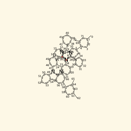 Cc1ccc(-c2ccc3c(c2)c2ccccc2n3-c2cccnc2-c2c(-c3nc(-c4ccccc4)nc(-c4ccccc4)n3)cccc2-n2c3ccccc3c3cc(-c4ccc(C)cc4C)ccc32)c(C)c1